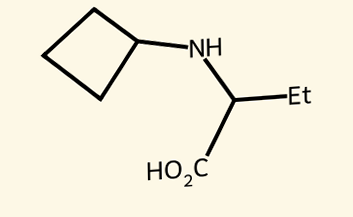 CCC(NC1CCC1)C(=O)O